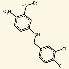 [CH2]CNc1nc(NCc2ccc(Cl)c(Cl)c2)ccc1[N+](=O)[O-]